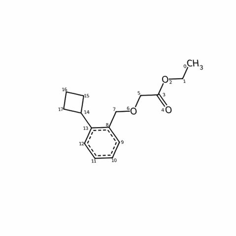 CCOC(=O)COCc1ccccc1C1CCC1